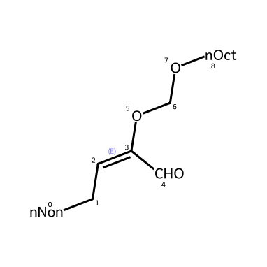 CCCCCCCCCC/C=C(\C=O)OCOCCCCCCCC